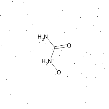 NC(=O)[NH2+][O-]